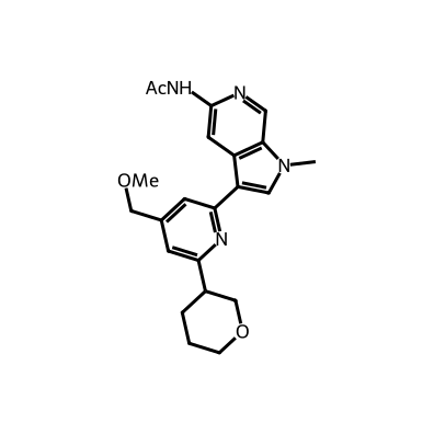 COCc1cc(-c2cn(C)c3cnc(NC(C)=O)cc23)nc(C2CCCOC2)c1